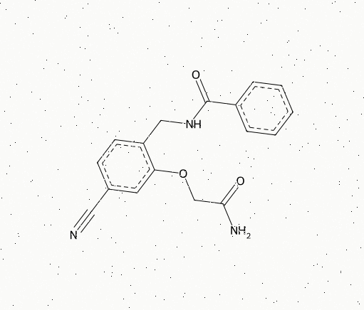 N#Cc1ccc(CNC(=O)c2ccccc2)c(OCC(N)=O)c1